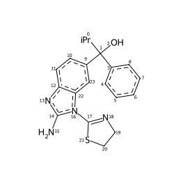 CC(C)C(O)(c1ccccc1)c1ccc2nc(N)n(C3=NCCS3)c2c1